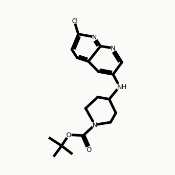 CC(C)(C)OC(=O)N1CCC(Nc2cnc3nc(Cl)ccc3c2)CC1